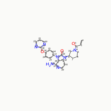 C=CC(=O)N1CCC[C@@H](n2c(=O)n(-c3ccc(Oc4ncccn4)cc3)c3c(N)nccc32)C1